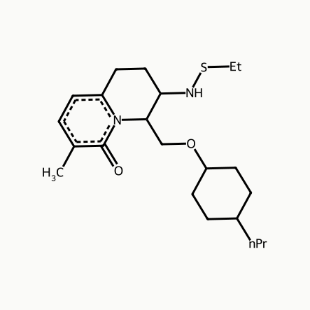 CCCC1CCC(OCC2C(NSCC)CCc3ccc(C)c(=O)n32)CC1